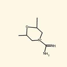 CC1C[N+](C(=N)N)CC(C)O1